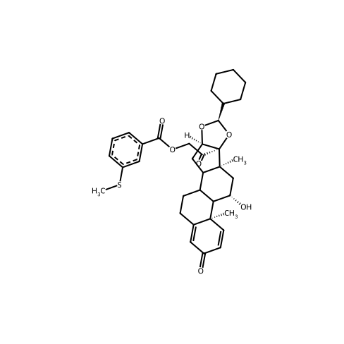 CSc1cccc(C(=O)OCC(=O)[C@@]23O[C@H](C4CCCCC4)O[C@@H]2CC2C4CCC5=CC(=O)C=C[C@]5(C)C4[C@@H](O)C[C@@]23C)c1